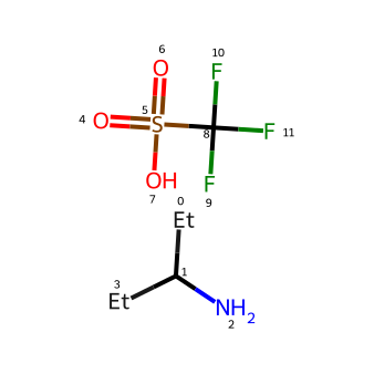 CCC(N)CC.O=S(=O)(O)C(F)(F)F